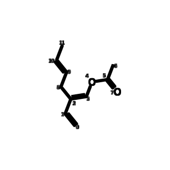 C=CC(=COC(C)=O)CC=CC